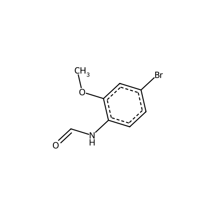 COc1cc(Br)ccc1NC=O